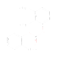 CCCCCCCc1cccc(OC(=O)Oc2ccccc2CCCCCC)c1CCCCCCC